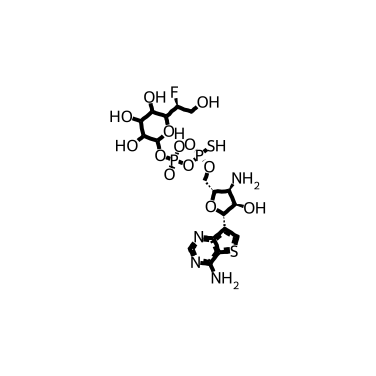 Nc1ncnc2c([C@@H]3O[C@H](COP(=O)(S)OP(=O)(O)OC4OC([C@@H](F)CO)C(O)C(O)C4O)[C@@H](N)[C@H]3O)csc12